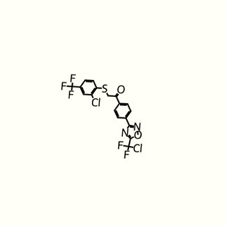 O=C(CSc1ccc(C(F)(F)F)cc1Cl)c1ccc(-c2noc(C(F)(F)Cl)n2)cc1